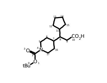 CC(C)(C)OC(=O)N1CCC(C(CC(=O)O)C2CCCC2)CC1